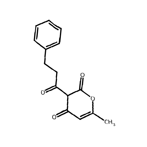 CC1=CC(=O)C(C(=O)CCc2ccccc2)C(=O)O1